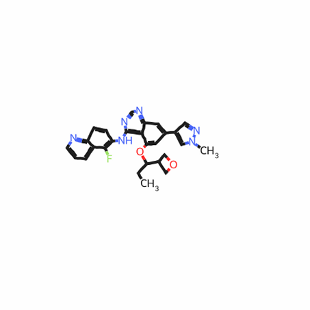 CCC(Oc1cc(-c2cnn(C)c2)cc2ncnc(Nc3ccc4ncccc4c3F)c12)C1COC1